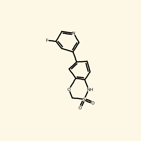 O=S1(=O)COc2cc(-c3cncc(F)c3)ccc2N1